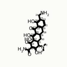 CN(C)C1C(O)=C(C(N)=O)C(=O)[C@@]2(O)C(O)=C3C(=O)c4c(ccc(CN)c4O)CC3CC12